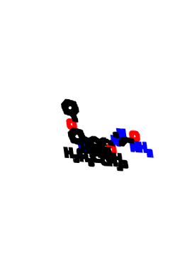 Cn1cc(CCC[C@@H](O[Si](C)(C)C(C)(C)C)n2cnc(C(N)=O)c2)c2cc(OCc3ccccc3)ccc21